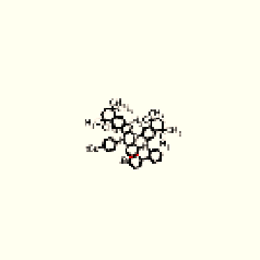 CC(C)(C)C1=CC=C(N2c3cc(C(C)(C)C)cc4c3B(c3cc5c(cc3N4c3ccccc3-c3ccccc3)C(C)(C)CCC5(C)C)c3sc4cc5c(cc4c32)C(C)(C)CCC5(C)C)CC1